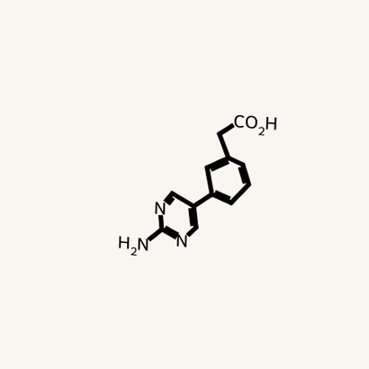 Nc1ncc(-c2cccc(CC(=O)O)c2)cn1